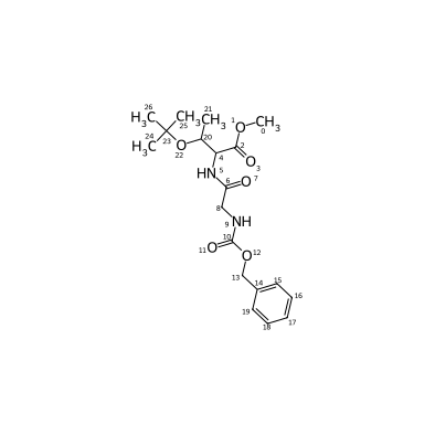 COC(=O)C(NC(=O)CNC(=O)OCc1ccccc1)C(C)OC(C)(C)C